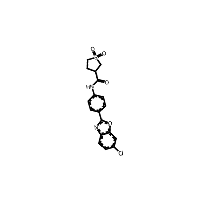 O=C(Nc1ccc(-c2nc3ccc(Cl)cc3o2)cc1)C1CCS(=O)(=O)C1